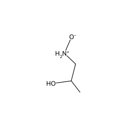 CC(O)C[NH2+][O-]